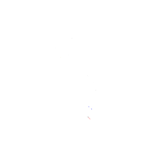 O=C(O)C1CSC(C2CCC([C@H]3CC34CCN(C(=O)C3(O)CC3)CC4)CC2)C1